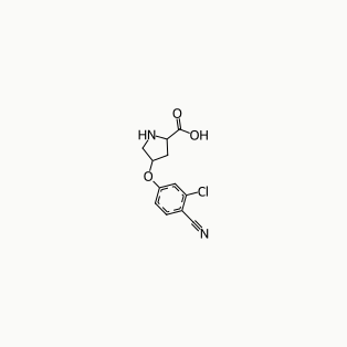 N#Cc1ccc(OC2CNC(C(=O)O)C2)cc1Cl